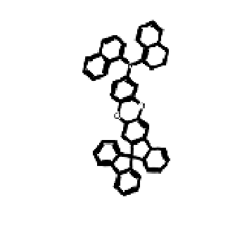 C1=CC2=C(N(c3ccc4c(c3)OC3=CC5=C(CC3O4)C3(c4ccccc4-c4ccccc43)C3C=CC=CC53)c3cccc4ccccc34)CCCC2C=C1